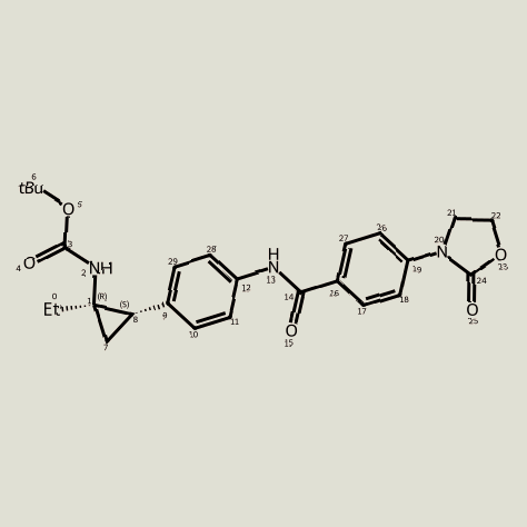 CC[C@@]1(NC(=O)OC(C)(C)C)C[C@H]1c1ccc(NC(=O)c2ccc(N3CCOC3=O)cc2)cc1